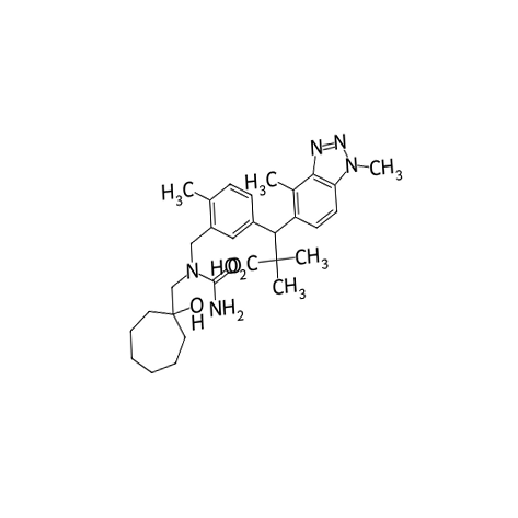 Cc1ccc(C(c2ccc3c(nnn3C)c2C)C(C)(C)C(=O)O)cc1CN(CC1(O)CCCCCC1)C(N)=O